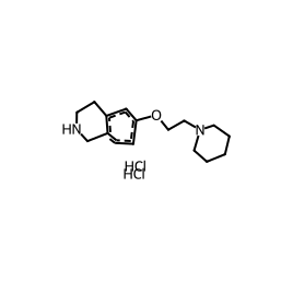 Cl.Cl.c1cc2c(cc1OCCN1CCCCC1)CCNC2